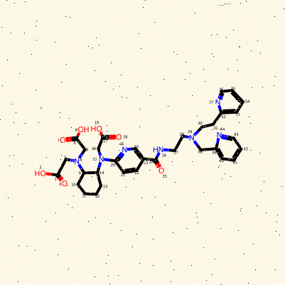 O=C(O)CN(CC(=O)O)C1CCCCC1N(CC(=O)O)c1ccc(C(=O)NCCN(CCc2ccccn2)Cc2ccccn2)cn1